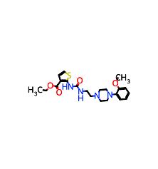 CCOC(=O)c1ccsc1NC(=O)NCCN1CCN(c2ccccc2OC)CC1